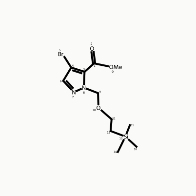 COC(=O)c1c(Br)cnn1COCC[Si](C)(C)C